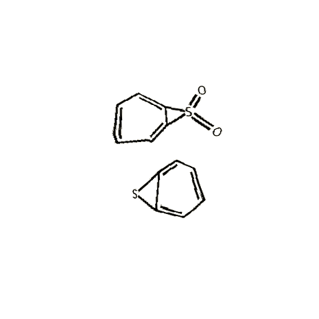 O=S1(=O)c2ccccc21.c1ccc2c(c1)S2